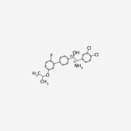 CC(C)Oc1ccc(F)c(-c2ccc([C@@H](O)[C@@H](N)c3ccc(Cl)c(Cl)c3)cc2)c1